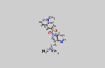 CN(C)CCc1cn(S(=O)(=O)c2ccc3c(c2)CCCN3C)c2cccnc12